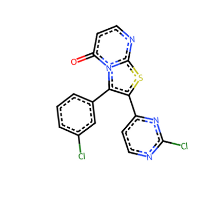 O=c1ccnc2sc(-c3ccnc(Cl)n3)c(-c3cccc(Cl)c3)n12